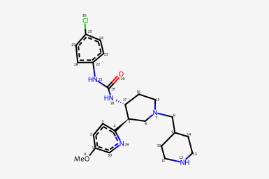 COc1ccc([C@@H]2CN(CC3CCNCC3)CC[C@H]2NC(=O)Nc2ccc(Cl)cc2)nc1